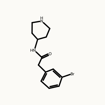 O=C(Cc1cccc(Br)c1)NC1CCNCC1